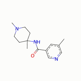 Cc1cncc(C(=O)NC2(C)CCN(C)CC2)c1